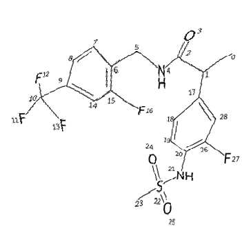 CC(C(=O)NCc1ccc(C(F)(F)F)cc1F)c1ccc(NS(C)(=O)=O)c(F)c1